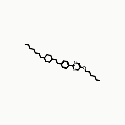 CCCCCCCC1CCC(CCc2ccc(-c3ncc(OCCCCCC)cn3)cc2)CC1